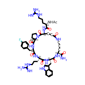 CC(=O)N[C@@H](CCCNC(=N)N)C(=O)N[C@H]1CCC(=O)NCCC[C@@H](C(N)=O)NC(=O)[C@H](Cc2c[nH]c3ccccc23)NC(=O)[C@H](CCCNC(=N)N)NC(=O)[C@@H](Cc2ccc(F)cc2)NC(=O)[C@@H]2CCCN2C1=O